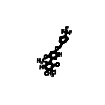 Cc1[nH]c(C)c(-c2c[nH]c(OCc3ccc(C(F)(F)F)cc3)cc2=O)c(=O)c1Cl